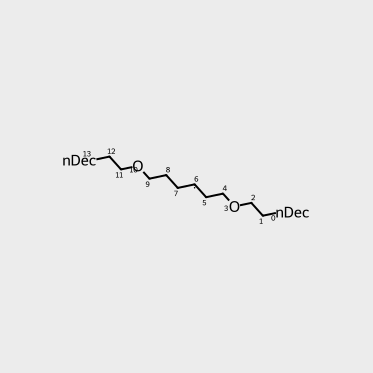 CCCCCCCCCCCCOCC[CH]CCCOCCCCCCCCCCCC